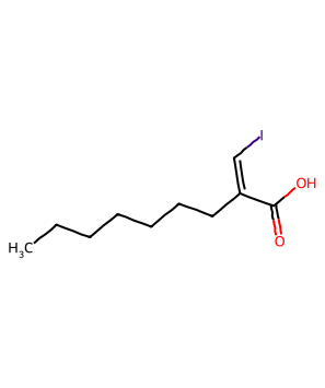 CCCCCCCC(=CI)C(=O)O